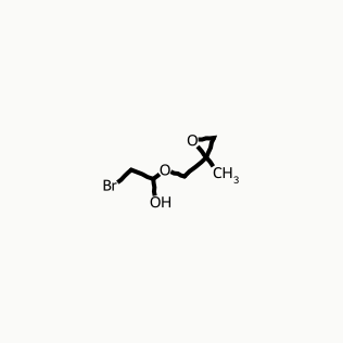 CC1(COC(O)CBr)CO1